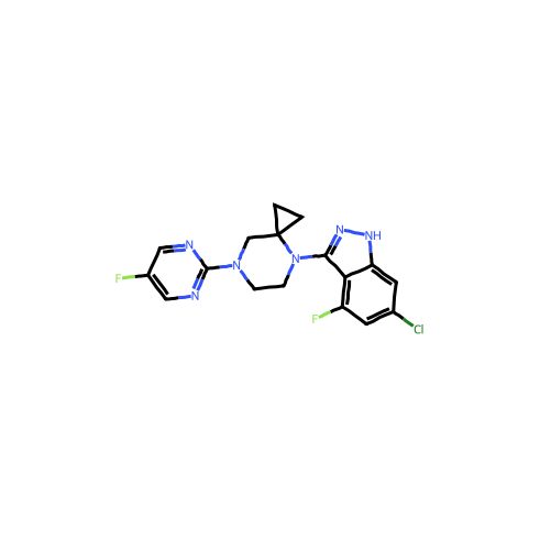 Fc1cnc(N2CCN(c3n[nH]c4cc(Cl)cc(F)c34)C3(CC3)C2)nc1